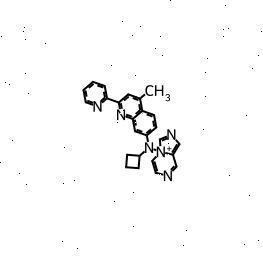 Cc1cc(-c2ccccn2)nc2cc(N(C3CCC3)[N+]34C=CN=CC3=CN=C4)ccc12